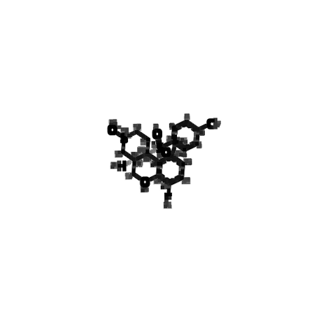 O=S(=O)(c1ccc(Cl)cc1)[C@@]12CC[S+]([O-])C[C@@H]1COc1c(F)ccc(F)c12